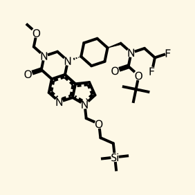 COCN1CN([C@H]2CC[C@H](CN(CC(F)F)C(=O)OC(C)(C)C)CC2)c2c(cnc3c2ccn3COCC[Si](C)(C)C)C1=O